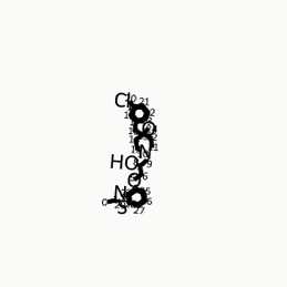 Cc1nc2c(OC[C@@H](O)CN3CCC4(CC3)Cc3cc(Cl)ccc3O4)cccc2s1